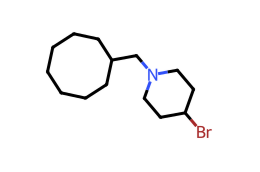 BrC1CCN(CC2CCCCCCC2)CC1